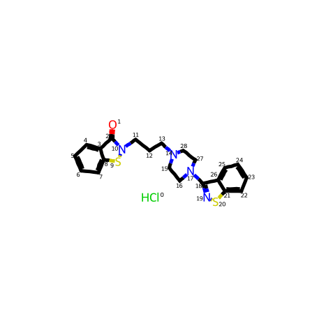 Cl.O=c1c2ccccc2sn1CCCN1CCN(c2nsc3ccccc23)CC1